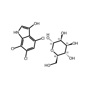 OC[C@H]1O[C@H](O)[C@@H](O)[C@@H](O)[C@@H]1O.Oc1c[nH]c2c(Cl)c(Cl)cc(Cl)c12